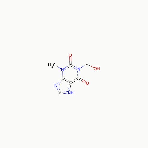 Cn1c(=O)n(CO)c(=O)c2[nH]cnc21